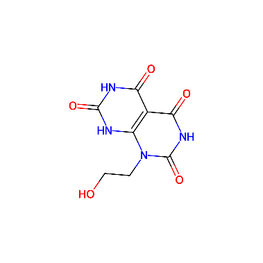 O=c1[nH]c(=O)c2c(=O)[nH]c(=O)n(CCO)c2[nH]1